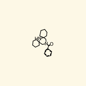 O=C(c1ccccc1)N1CC2(CCCCC2)NC2(CCCCC2)C1